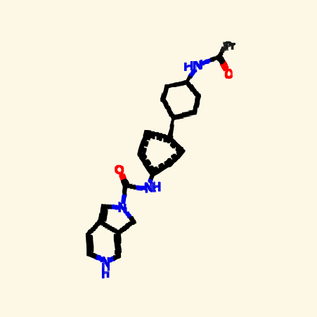 CC(C)C(=O)N[C@H]1CC[C@@H](c2ccc(NC(=O)N3C=C4C=CNC=C4C3)cc2)CC1